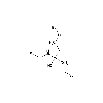 CCO[SiH2]CC(C#N)([SiH2]OCC)[SiH2]OCC